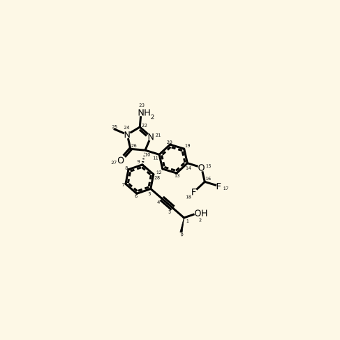 C[C@H](O)C#Cc1cccc([C@@]2(c3ccc(OC(F)F)cc3)N=C(N)N(C)C2=O)c1